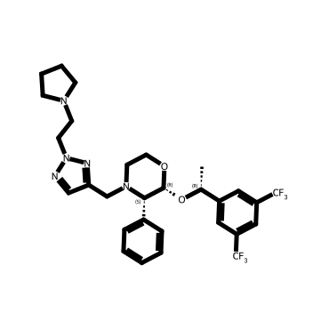 C[C@@H](O[C@H]1OCCN(Cc2cnn(CCN3CCCC3)n2)[C@H]1c1ccccc1)c1cc(C(F)(F)F)cc(C(F)(F)F)c1